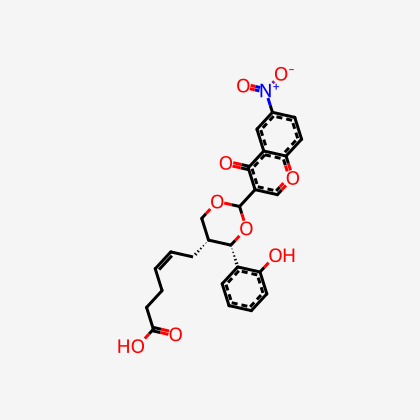 O=C(O)CC/C=C\C[C@@H]1COC(c2coc3ccc([N+](=O)[O-])cc3c2=O)O[C@@H]1c1ccccc1O